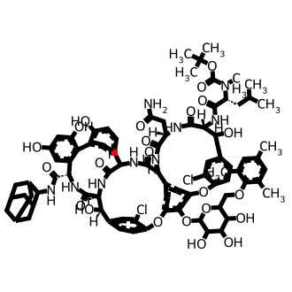 Cc1cc(C)c(OCC2OC(Oc3c4cc5cc3Oc3ccc(cc3Cl)[C@@H](O)[C@@H](NC(=O)[C@@H](CC(C)C)N(C)C(=O)OC(C)(C)C)C(=O)N[C@@H](CC(N)=O)C(=O)N[C@H]5C(=O)N[C@H]3C(=O)N[C@H](C(=O)N[C@H](C(=O)NC5C6CC7CC(C6)CC5C7)c5cc(O)cc(O)c5-c5cc3ccc5O)[C@H](O)c3ccc(c(Cl)c3)O4)C(O)C(O)C2O)c(C)c1